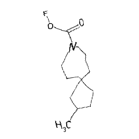 CC1CCC2(CCN(C(=O)OF)CC2)C1